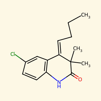 CCCC=C1c2cc(Cl)ccc2NC(=O)C1(C)C